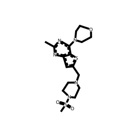 Cc1nc(N2CCOCC2)c2sc(CN3CCN(S(C)(=O)=O)CC3)cc2n1